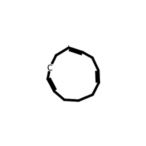 [C]1=C\C/C=C\CCC/C=C\CC/1